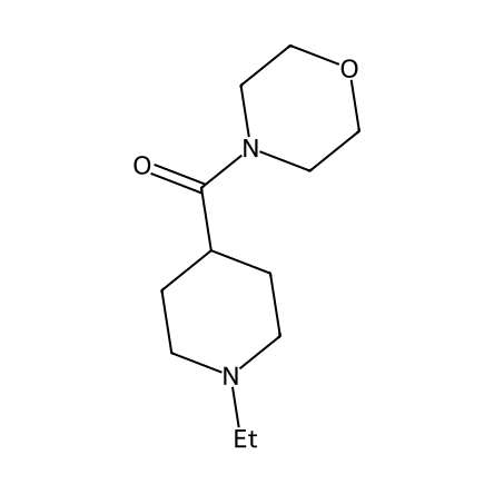 CCN1CCC(C(=O)N2CCOCC2)CC1